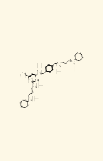 Clc1cc(NCc2ccc(CNCCCNC3CCCCC3)cc2)nc(NCCCNC2CCCCC2)n1